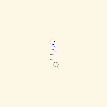 O=C(Nc1ccc(O)cn1)NC1CCCN(c2ccc(Cl)cc2)C1